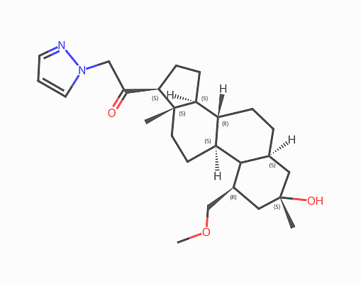 COC[C@@H]1C[C@@](C)(O)C[C@@H]2CC[C@@H]3[C@H](CC[C@]4(C)[C@@H](C(=O)Cn5cccn5)CC[C@@H]34)C12